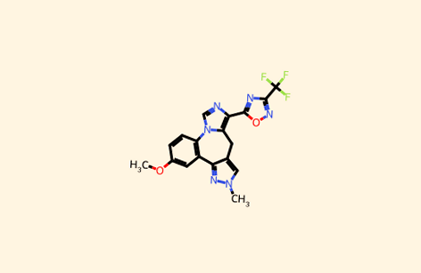 COc1ccc2c(c1)-c1nn(C)cc1Cc1c(-c3nc(C(F)(F)F)no3)ncn1-2